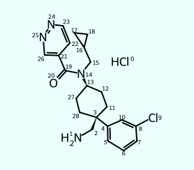 Cl.NC[C@]1(c2cccc(Cl)c2)CC[C@H](N(CC2CC2)C(=O)c2ccnnc2)CC1